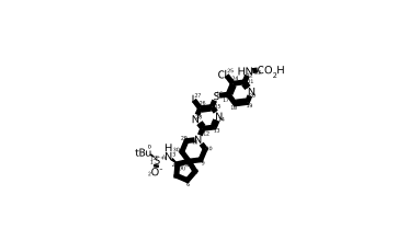 CC(C)(C)[S@@+]([O-])N[C@@H]1CCCC12CCN(c1cnc(Sc3ccnc(NC(=O)O)c3Cl)c(I)n1)CC2